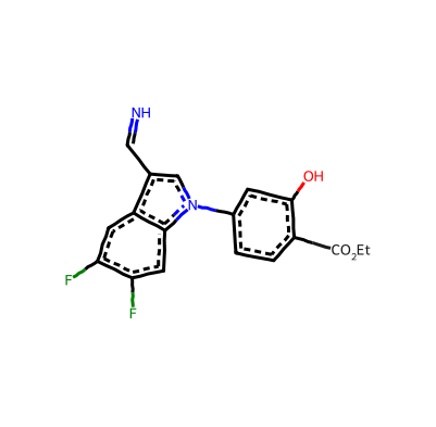 CCOC(=O)c1ccc(-n2cc(C=N)c3cc(F)c(F)cc32)cc1O